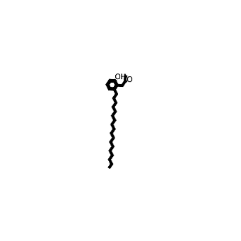 CCCCCCCCCCCCCCCCCCc1cccc(O)c1CC1CO1